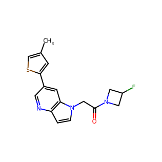 Cc1csc(-c2cnc3ccn(CC(=O)N4CC(F)C4)c3c2)c1